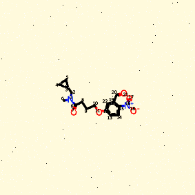 CN(CC1CC1)C(=O)CCCOc1ccc([N+](=O)[O-])c(C=O)c1